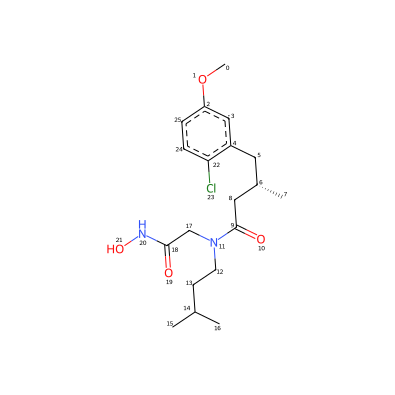 COc1[c]c(C[C@H](C)CC(=O)N(CCC(C)C)CC(=O)NO)c(Cl)cc1